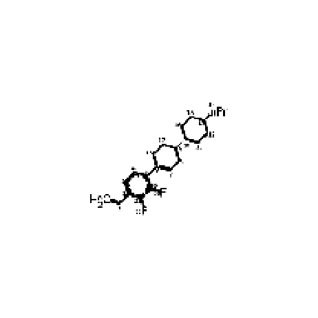 C=Cc1ccc(C2=CCC([C@H]3CC[C@H](CCC)CC3)CC2)c(F)c1F